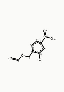 O=COCc1ccc([N+](=O)[O-])cc1Cl